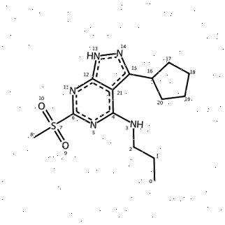 CCCNc1nc(S(C)(=O)=O)nc2[nH]nc(C3CCCC3)c12